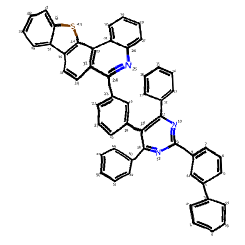 c1ccc(-c2cccc(-c3nc(-c4ccccc4)c(-c4cccc(-c5nc6ccccc6c6c5ccc5c7ccccc7sc56)c4)c(-c4ccccc4)n3)c2)cc1